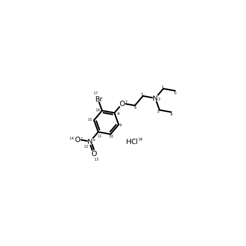 CCN(CC)CCOc1ccc([N+](=O)[O-])cc1Br.Cl